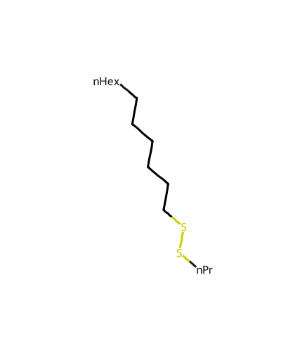 CCCCCCCCCCCCSSCCC